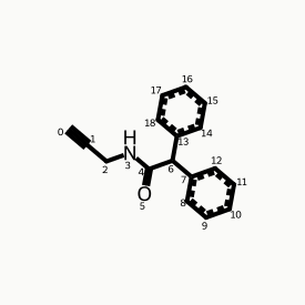 C#CCNC(=O)C(c1ccccc1)c1ccccc1